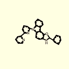 c1ccc(C2Nc3ccc4c(c3O2)c2ccccc2n4-c2cccc(-c3ccccn3)n2)cc1